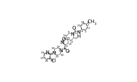 Cc1ccc(NC(=O)N2CCC3(CC2)CC(C(=O)N2CCN(c4ncccc4Cl)CC2)=NO3)cc1